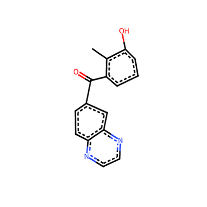 Cc1c(O)cccc1C(=O)c1ccc2nccnc2c1